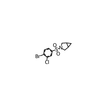 O=S(=O)(c1ccc(Br)c(Cl)c1)N1CC2CC2C1